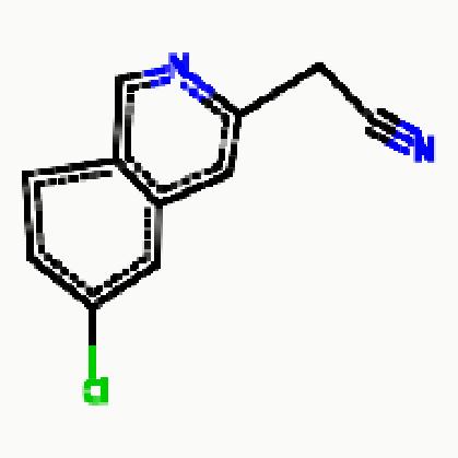 N#CCc1cc2cc(Cl)ccc2cn1